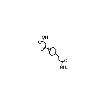 NC(=O)CCC1CCN(C(=O)CC(=O)O)CC1